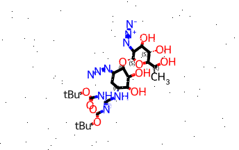 C[C@@H](O)C1O[C@H](O[C@@H]2C(N=[N+]=[N-])C[C@@H](N/C(=N/C(=O)OC(C)(C)C)NC(=O)OC(C)(C)C)C(O)C2O)C(N=[N+]=[N-])C(O)[C@@H]1O